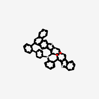 c1ccc(-c2ccc3ccccc3c2)c(-c2ccc(N(c3ccccc3-c3cccc4c3oc3ccccc34)c3cccc4sc5ccccc5c34)cc2)c1